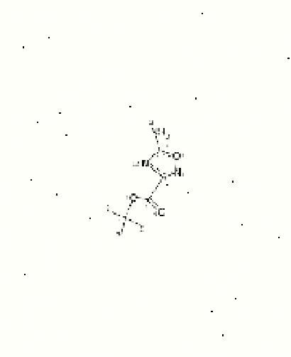 CC(C)(C)OC(=O)c1noc(N)n1